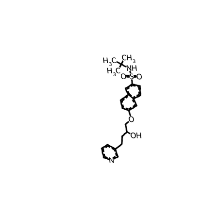 CC(C)(C)NS(=O)(=O)c1ccc2cc(OCC(O)CCc3cccnc3)ccc2c1